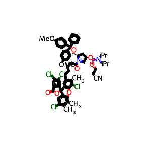 COc1ccc(C(OC[C@@H]2C[C@@H](OP(OCCC#N)N(C(C)C)C(C)C)CN2C(=O)CCCCc2cc3c(c(Cl)c2C)Oc2c(cc(Cl)c(C)c2C)C32OC(=O)c3cc(Cl)c(Cl)cc32)(c2ccccc2)c2ccc(OC)cc2)cc1